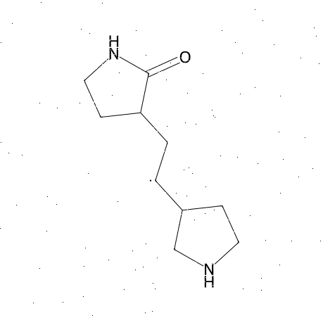 O=C1NCCC1C[CH]C1CCNC1